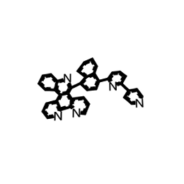 c1cc(-c2ccncc2)nc(-c2ccc(-c3nc4ccccc4c4c5cccnc5c5ncccc5c34)c3ccccc23)c1